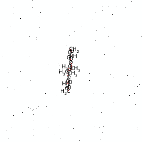 C=CC(=O)OCCNC(=O)OCCOCCCS(C)(C)c1ccc(S(C)(C)CCCOCCOC(=O)NCCOC(=O)C=C)cc1